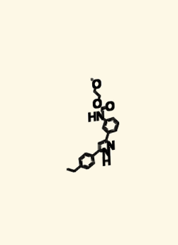 CCc1ccc(-c2cc(-c3cccc(NC(=O)OCCOC)c3)n[nH]2)cc1